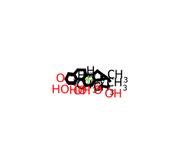 CC1(C)C2C[C@H]3[C@@H]4CCC5=CC(=O)C(O)=C(O)[C@]5(C)C4(F)C(O)C[C@]3(C)[C@@]21C(=O)CO